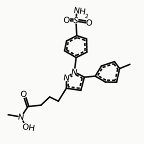 Cc1ccc(-c2cc(CCCC(=O)N(C)O)nn2-c2ccc(S(N)(=O)=O)cc2)cc1